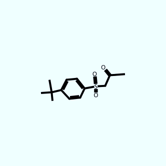 CC(=O)CS(=O)(=O)c1ccc(C(C)(C)C)cc1